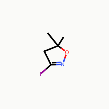 CC1(C)CC(I)=NO1